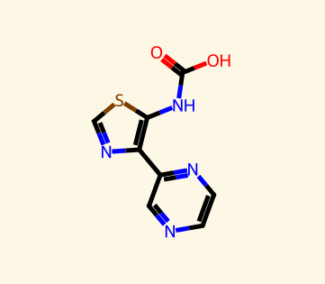 O=C(O)Nc1scnc1-c1cnccn1